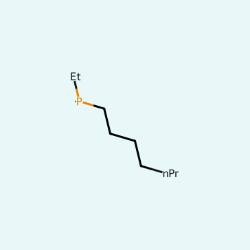 CCCCCCC[P]CC